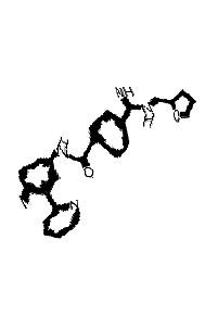 N=C(NCC1CCCO1)c1ccc(C(=O)Nc2ccc(I)c(-c3ccccn3)c2)cc1